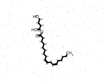 CCCCC/C=C\C/C=C\CCCCCCCC(=O)OC(O)CCCO